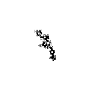 Cc1ncsc1-c1ccc([C@H](C)NC(=O)[C@@H]2C[C@@H](O)CN2C(=O)C(NC(=O)CN2CCNCC2)C(C)(C)C)cc1